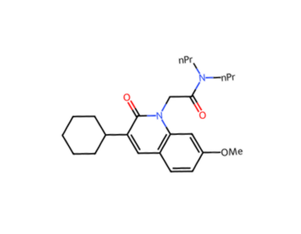 CCCN(CCC)C(=O)Cn1c(=O)c(C2CCCCC2)cc2ccc(OC)cc21